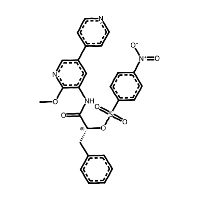 COc1ncc(-c2ccncc2)cc1NC(=O)[C@@H](Cc1ccccc1)OS(=O)(=O)c1ccc([N+](=O)[O-])cc1